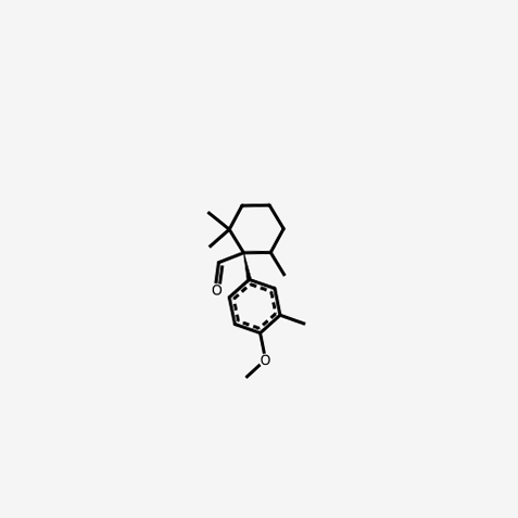 COc1ccc([C@]2(C=O)C(C)CCCC2(C)C)cc1C